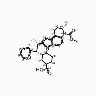 COC(=O)N1c2ccc3c(nc([C@@H](C)Cc4cnccn4)n3C3CCC(C(=O)O)CC3)c2CC[C@@H]1C